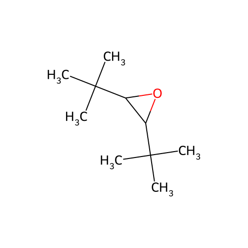 CC(C)(C)C1OC1C(C)(C)C